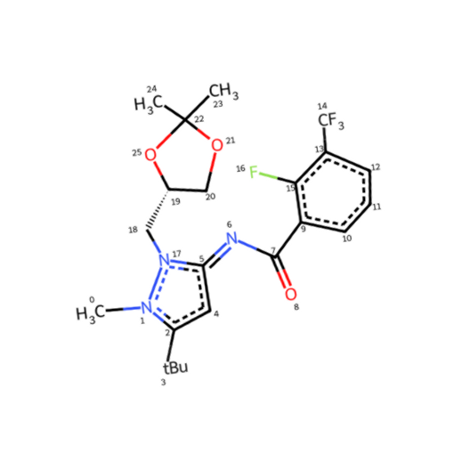 Cn1c(C(C)(C)C)cc(=NC(=O)c2cccc(C(F)(F)F)c2F)n1C[C@H]1COC(C)(C)O1